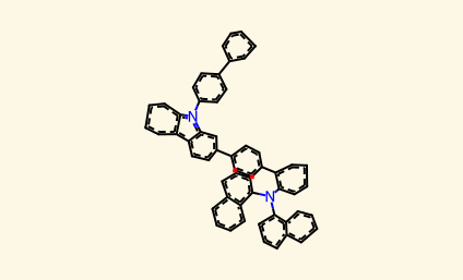 c1ccc(-c2ccc(-n3c4ccccc4c4ccc(-c5ccc(-c6ccccc6N(c6cccc7ccccc67)c6cccc7ccccc67)cc5)cc43)cc2)cc1